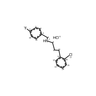 Cl.Fc1ccc(CNCCCc2ccccc2Cl)cc1